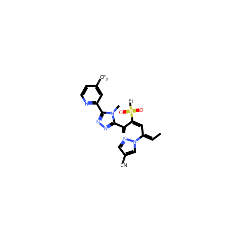 C=C(/C(=C\C(=C/C)n1cc(C#N)cn1)S(=O)(=O)CC)c1nnc(-c2cc(C(F)(F)F)ccn2)n1C